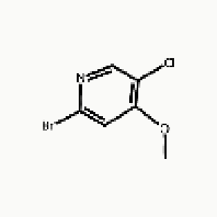 COc1cc(Br)ncc1Cl